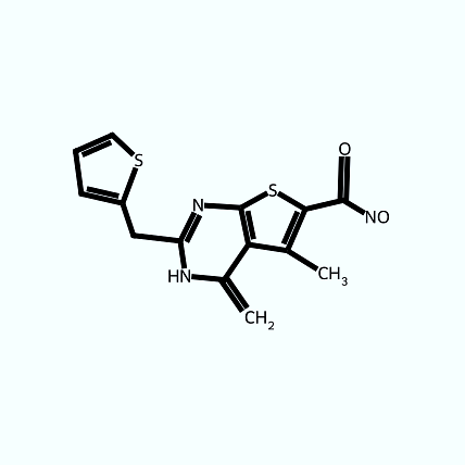 C=C1NC(Cc2cccs2)=Nc2sc(C(=O)N=O)c(C)c21